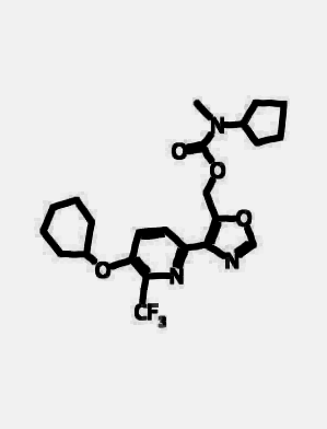 CN(C(=O)OCc1ocnc1-c1ccc(OC2CCCCC2)c(C(F)(F)F)n1)C1CCCC1